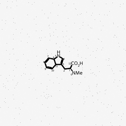 CN[C@@H](CC1=CNC2C=CC=CC12)C(=O)O